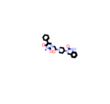 Cn1c(=O)c(C2=CCCCC2)cn(CC(=O)N2CCC(N3Cc4ccccc4NC3=O)CC2)c1=O